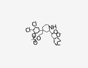 COc1ccccc1CC(=O)C1CC(CCOS(C)(=O)=O)(c2ccc(Cl)c(Cl)c2)CCCN1